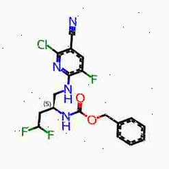 N#Cc1cc(F)c(NC[C@H](CC(F)F)NC(=O)OCc2ccccc2)nc1Cl